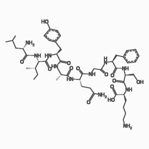 CC[C@H](C)[C@H](NC(=O)[C@@H](N)CC(C)C)C(=O)N[C@@H](Cc1ccc(O)cc1)C(=O)N[C@@H](C)C(=O)N[C@@H](CCC(N)=O)C(=O)NCC(=O)N[C@@H](Cc1ccccc1)C(=O)N[C@@H](CO)C(=O)N[C@@H](CCCCN)C(=O)O